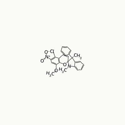 COc1cc([N+](=O)[O-])c(Cl)c2c1OC1(C=C2)N(C)c2ccccc2C1(C)c1ccccc1